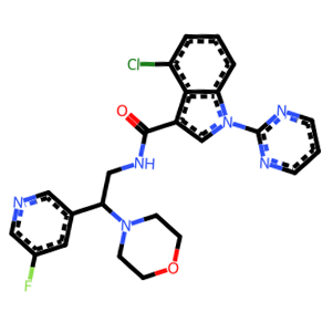 O=C(NCC(c1cncc(F)c1)N1CCOCC1)c1cn(-c2ncccn2)c2cccc(Cl)c12